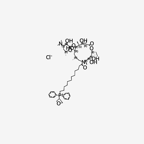 CC[C@H]1OC(=O)[C@H](C)[C@@H](O)[C@H](C)[C@@H](O[C@@H]2O[C@H](C)C[C@H](N(C)C)[C@H]2O)[C@](C)(O)C[C@@H](C)CN(C(=O)CCCCCCCCCCC[P+](c2ccccc2)(c2ccccc2)C2COC2)[C@H](C)[C@@H](O)[C@]1(C)O.[Cl-]